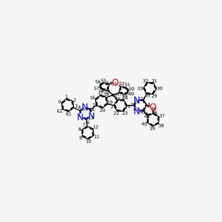 c1ccc(-c2nc(-c3ccccc3)nc(-c3ccc4c(c3)-c3ccc(-c5nc(-c6ccccc6)c6oc7ccccc7c6n5)cc3C43c4ccccc4Oc4ccccc43)n2)cc1